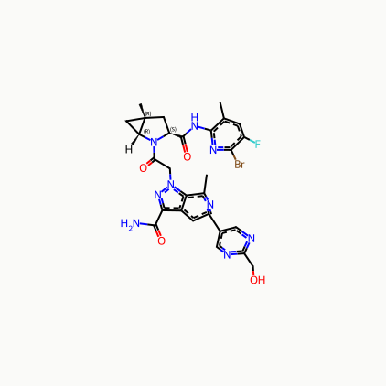 Cc1cc(F)c(Br)nc1NC(=O)[C@@H]1C[C@@]2(C)C[C@H]2N1C(=O)Cn1nc(C(N)=O)c2cc(-c3cnc(CO)nc3)nc(C)c21